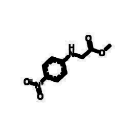 COC(=O)CNc1ccc([N+](=O)[O-])cc1